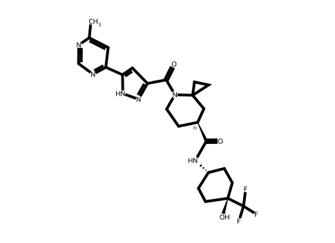 Cc1cc(-c2cc(C(=O)N3CC[C@H](C(=O)N[C@H]4CC[C@@](O)(C(F)(F)F)CC4)CC34CC4)n[nH]2)ncn1